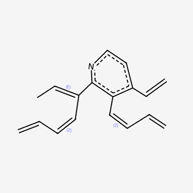 C=C/C=C\C(=C/C)c1nccc(C=C)c1/C=C\C=C